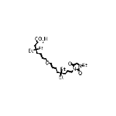 CCN1CC(=O)N(CCCC(CC)(CC)CCCCOCCCCC(CC)(CC)CCC(=O)O)C1=O